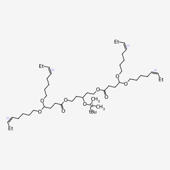 CC/C=C\CCCCOC(CCC(=O)OCCC(CCOC(=O)CCC(OCCCC/C=C\CC)OCCCC/C=C\CC)O[Si](C)(C)C(C)(C)C)OCCCC/C=C\CC